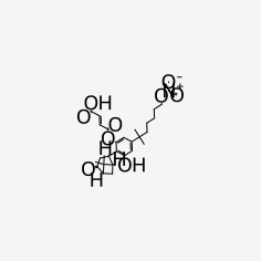 CC(C)(CCCCCO[N+](=O)[O-])c1cc(O)c([C@@H]2CC(=O)[C@@H]3C[C@@H]2C3(C)C)c(OC(=O)/C=C/C(=O)O)c1